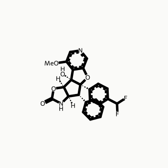 COc1cncc2c1[C@]1(O)[C@@H]3OC(=O)N[C@@H]3[C@@H](c3ccccc3)[C@]1(c1ccc(C(F)F)cc1)O2